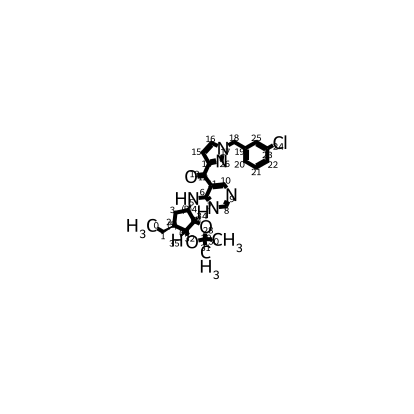 CC[C@H]1C[C@@H](Nc2ncncc2C(=O)c2ccn(Cc3cccc(Cl)c3)n2)[C@@H]2OC(C)(C)O[C@H]12